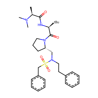 C[C@@H](C(=O)N[C@H](C(=O)N1CCC[C@H]1CN(CCc1ccccc1)S(=O)(=O)Cc1ccccc1)C(C)(C)C)N(C)C